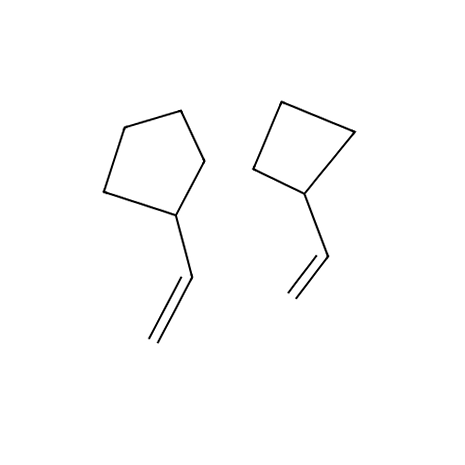 C=CC1CCC1.C=CC1CCCC1